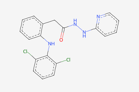 O=C(Cc1ccccc1Nc1c(Cl)cccc1Cl)NNc1ccccn1